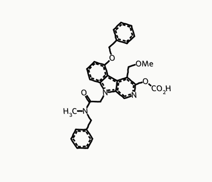 COCc1c(OC(=O)O)ncc2c1c1c(OCc3ccccc3)cccc1n2CC(=O)N(C)Cc1ccccc1